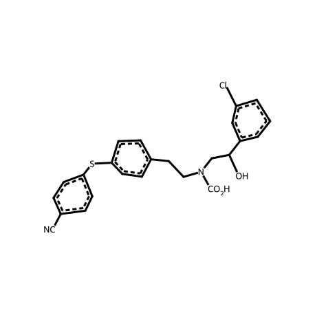 N#Cc1ccc(Sc2ccc(CCN(CC(O)c3cccc(Cl)c3)C(=O)O)cc2)cc1